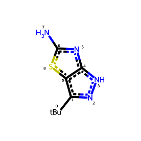 CC(C)(C)c1n[nH]c2nc(N)sc12